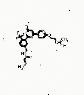 CCCC(=O)NCc1ccc(C(F)(F)F)c(-c2nc(-c3ccc(OCCOC(C)C)nc3)cc(=O)[nH]2)c1